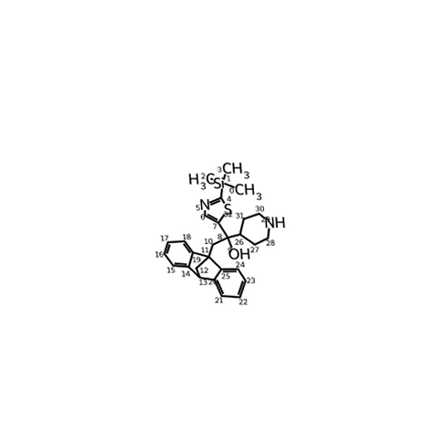 C[Si](C)(C)c1ncc(C(O)(CC23CC(c4ccccc42)c2ccccc23)C2CCNCC2)s1